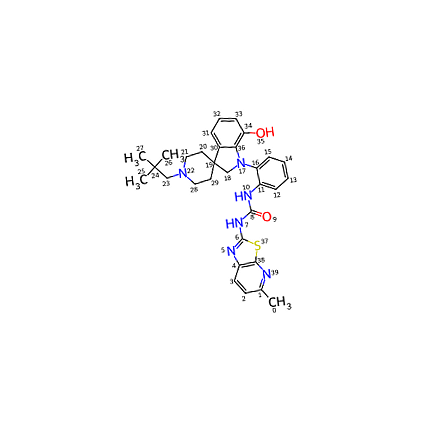 Cc1ccc2nc(NC(=O)Nc3ccccc3N3CC4(CCN(CC(C)(C)C)CC4)c4cccc(O)c43)sc2n1